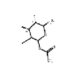 CC[C@H](C)C1OC(OC(=N)C(F)(F)F)C(C)[C@@H](C)[C@@H]1C